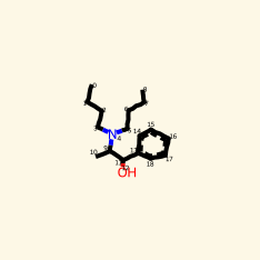 CCCCN(CCCC)C(C)C(O)c1ccccc1